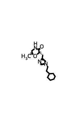 C[C@@H]1CNC(=O)[C@H](Cc2cn(CCC3CCCCC3)cn2)O1